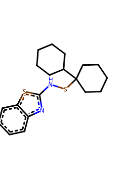 c1ccc2sc(NSC3(C4CCCCC4)CCCCC3)nc2c1